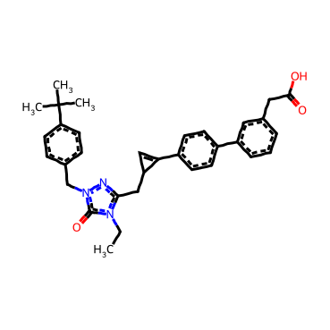 CCn1c(CC2C=C2c2ccc(-c3cccc(CC(=O)O)c3)cc2)nn(Cc2ccc(C(C)(C)C)cc2)c1=O